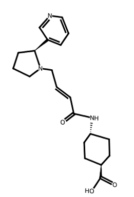 O=C(/C=C/CN1CCC[C@H]1c1cccnc1)N[C@H]1CC[C@H](C(=O)O)CC1